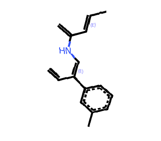 C=C/C(=C\NC(=C)/C=C/C)c1cccc(C)c1